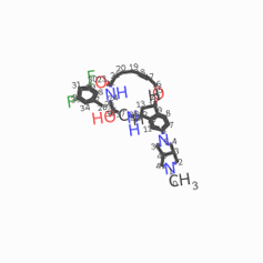 CN1CC2CN(c3ccc4c(c3)[C@@H]3C[C@H]4OCC=CCCCC(=O)N[C@@H](Cc4cc(F)cc(F)c4)[C@H](O)CN3)CC2C1